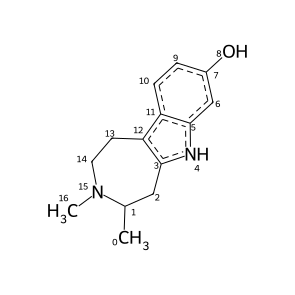 CC1Cc2[nH]c3cc(O)ccc3c2CCN1C